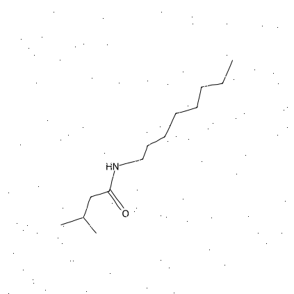 CCCCCCCCNC(=O)CC(C)C